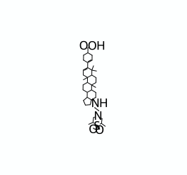 CC1CN(CCNC23CCCC2C2CCC4C(C)(CCC5C(C)(C)C(C6=CCC(C(=O)O)CC6)=CCC54C)C2CC3)CC(C)S1(=O)=O